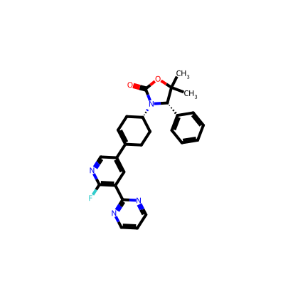 CC1(C)OC(=O)N([C@H]2CC=C(c3cnc(F)c(-c4ncccn4)c3)CC2)[C@H]1c1ccccc1